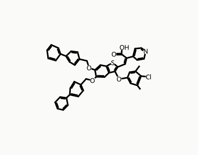 Cc1cc(Oc2c(C=C(C(=O)O)c3ccncc3)sc3cc(OCc4ccc(-c5ccccc5)cc4)c(OCc4ccc(-c5ccccc5)cc4)cc23)cc(C)c1Cl